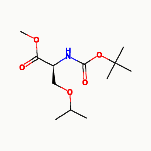 COC(=O)[C@H](COC(C)C)NC(=O)OC(C)(C)C